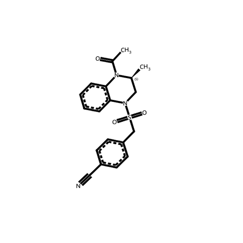 CC(=O)N1c2ccccc2N(S(=O)(=O)Cc2ccc(C#N)cc2)C[C@@H]1C